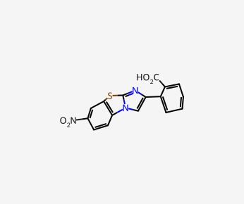 O=C(O)c1ccccc1-c1cn2c(n1)sc1cc([N+](=O)[O-])ccc12